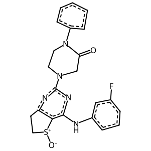 O=C1CN(c2nc3c(c(Nc4cccc(F)c4)n2)[S+]([O-])CC3)CCN1c1ccccc1